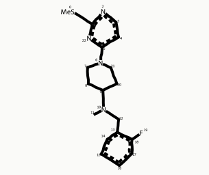 CSc1nccc(N2CCC(N(C)Cc3ccccc3F)CC2)n1